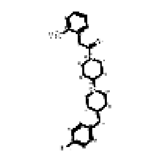 COc1ccccc1CC(=O)N1CCC(N2CCC(Cc3ccc(Br)cc3)CC2)CC1